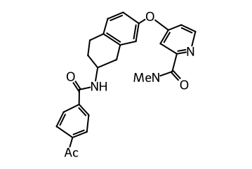 CNC(=O)c1cc(Oc2ccc3c(c2)CC(NC(=O)c2ccc(C(C)=O)cc2)CC3)ccn1